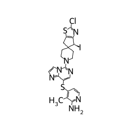 Cc1c(Sc2cnc(N3CCC4(CC3)Cc3sc(Cl)nc3[C@H]4I)n3ccnc23)ccnc1N